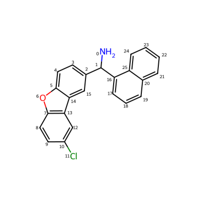 NC(c1ccc2oc3ccc(Cl)cc3c2c1)c1cccc2ccccc12